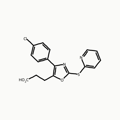 O=C(O)CCc1oc(Sc2ccccn2)nc1-c1ccc(Cl)cc1